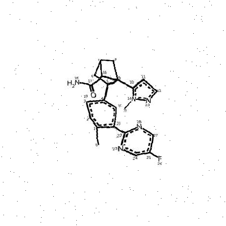 Cc1ccc(C2CC3CC2(c2ccnn2C)C3C(N)=O)cc1-c1ncc(F)cn1